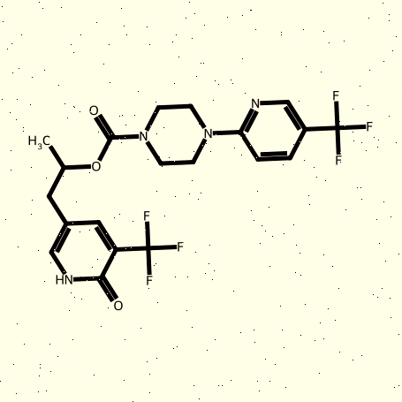 CC(Cc1c[nH]c(=O)c(C(F)(F)F)c1)OC(=O)N1CCN(c2ccc(C(F)(F)F)cn2)CC1